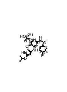 CC(C)Oc1cc(Nc2nc(N[C@@H](C)c3ccc(F)cn3)ncc2Cl)n[nH]1.O=P(O)(O)O